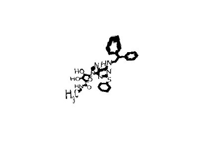 CCNC(=O)[C@H]1O[C@@H](n2cnc3c(NCC(c4ccccc4)c4ccccc4)nc(SC4CCCCC4)nc32)[C@H](O)[C@@H]1O